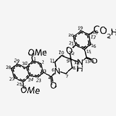 COc1cc(C(=O)N2CCC3(CC2)NC(=O)c2cc(C(=O)O)ccc2O3)cc2c(OC)cccc12